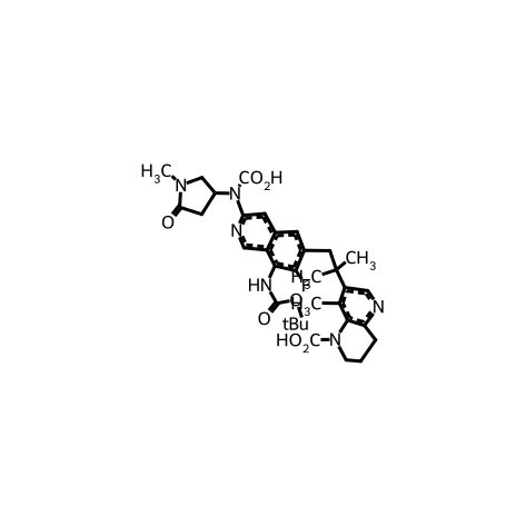 Cc1c(C(C)(C)Cc2cc3cc(N(C(=O)O)C4CC(=O)N(C)C4)ncc3c(NC(=O)OC(C)(C)C)c2F)cnc2c1N(C(=O)O)CCC2